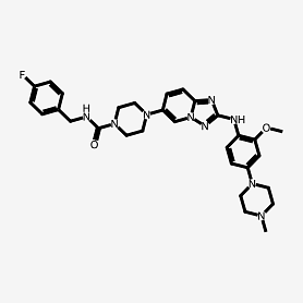 COc1cc(N2CCN(C)CC2)ccc1Nc1nc2ccc(N3CCN(C(=O)NCc4ccc(F)cc4)CC3)cn2n1